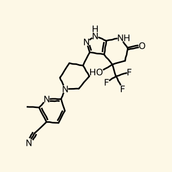 Cc1nc(N2CCC(c3n[nH]c4c3C(O)(C(F)(F)F)CC(=O)N4)CC2)ccc1C#N